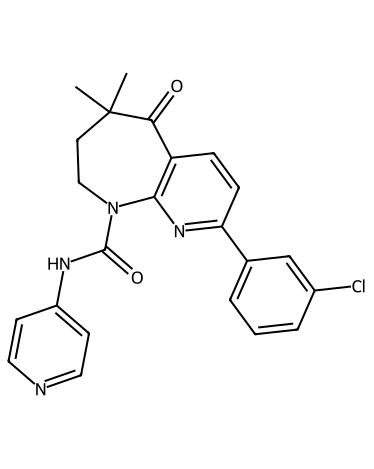 CC1(C)CCN(C(=O)Nc2ccncc2)c2nc(-c3cccc(Cl)c3)ccc2C1=O